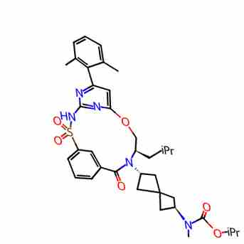 Cc1cccc(C)c1-c1cc2nc(n1)NS(=O)(=O)c1cccc(c1)C(=O)N([C@H]1CC3(C[C@H](N(C)C(=O)OC(C)C)C3)C1)[C@H](CC(C)C)CO2